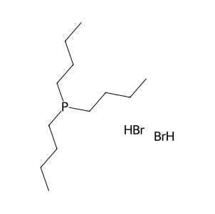 Br.Br.CCCCP(CCCC)CCCC